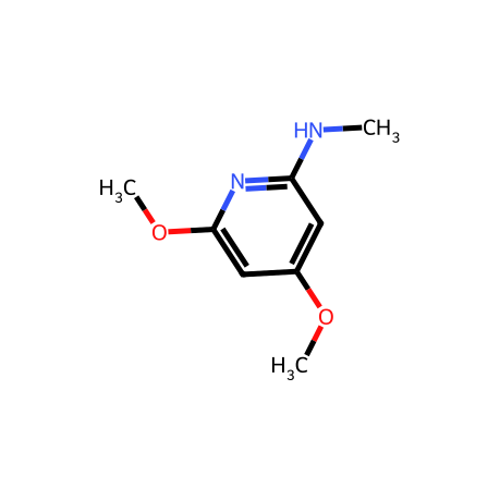 CNc1cc(OC)cc(OC)n1